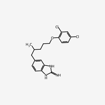 CC(CCCOc1ccc(Cl)cc1Cl)Cc1ccc2[nH]c(=N)[nH]c2c1